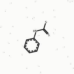 [S]C(=S)Nc1ccccc1